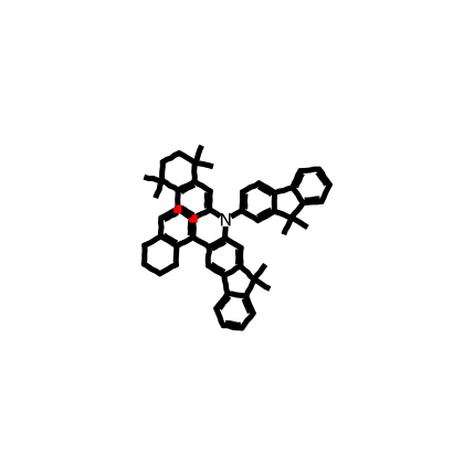 CC1(C)CCC(C)(C)c2cc(N(c3ccc4c(c3)C(C)(C)c3ccccc3-4)c3cc4c(cc3-c3cccc5c3CCCC5)-c3ccccc3C4(C)C)ccc21